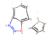 c1ccc2onnc2c1.c1ccsc1